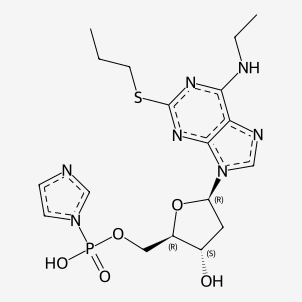 CCCSc1nc(NCC)c2ncn([C@H]3C[C@H](O)[C@@H](COP(=O)(O)n4ccnc4)O3)c2n1